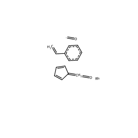 C=C1C=CC=C1.C=Cc1ccccc1.[C]=O.[C]=O.[Rh]